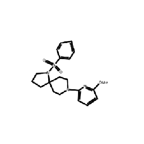 COc1cccc(N2CCC3(CCCN3S(=O)(=O)c3ccccc3)CC2)n1